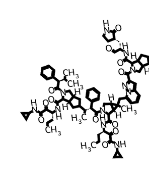 CCC[C@@H](NC(=O)C1[C@H]2CC(C(C)[C@@H](C(=O)N3C[C@H]4[C@@H](C3C(=O)N[C@H](CCC)C(=O)C(=O)NC3CC3)C4(C)Cc3cccc4cc(C(=O)N5C[C@@H]6CCC[C@@H]6C5C(=O)N[C@H](C=O)C[C@@H]5CCNC5=O)nn34)c3ccccc3)C[C@H]2CN1C(=O)[C@@H](c1ccccc1)C(C)C)C(=O)C(=O)NC1CC1